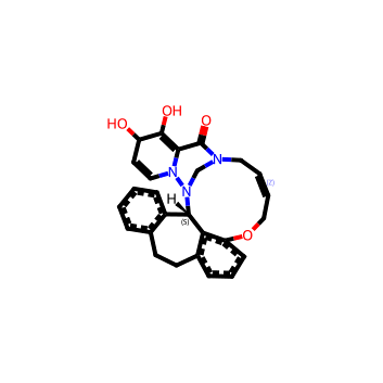 O=C1C2=C(O)C(O)C=CN2N2CN1C/C=C\COc1cccc3c1[C@@H]2c1ccccc1CC3